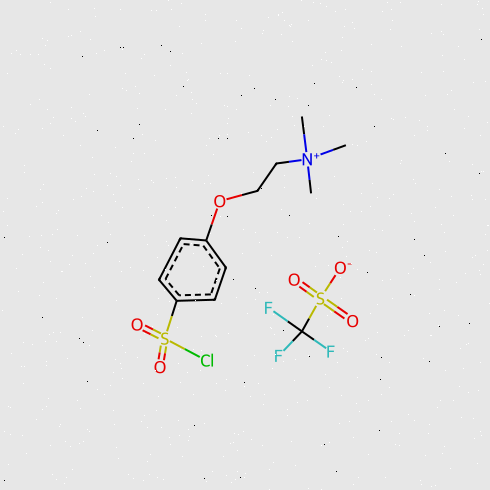 C[N+](C)(C)CCOc1ccc(S(=O)(=O)Cl)cc1.O=S(=O)([O-])C(F)(F)F